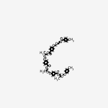 Cc1ccc(OCOC(C)COC(=O)c2ccc(OCOC(C)COC(=O)c3ccc(OCOC(C)COC(=O)c4ccc(OCOCCOC(=O)c5ccc(C)cc5)cc4)cc3)cc2)cc1